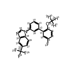 [2H]C([2H])([2H])Oc1ccc(F)cc1-c1cccc(-n2cnc3cc(C(F)(F)F)ccc32)c1